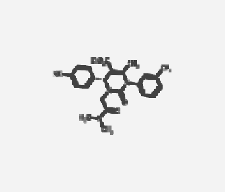 CCOC(=O)C1=C(C)N(c2cccc(C(F)(F)F)c2)C(=O)N(CC(=O)N(C)C)[C@@H]1c1ccc(C#N)cc1